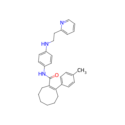 Cc1ccc(C2=C(C(=O)Nc3ccc(NCCc4ccccn4)cc3)CCCCCC2)cc1